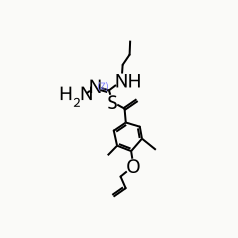 C=CCOc1c(C)cc(C(=C)S/C(=N\N)NCCC)cc1C